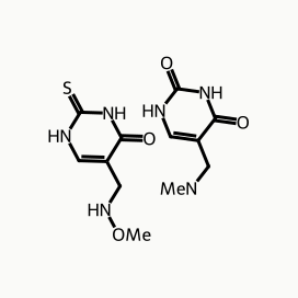 CNCc1c[nH]c(=O)[nH]c1=O.CONCc1c[nH]c(=S)[nH]c1=O